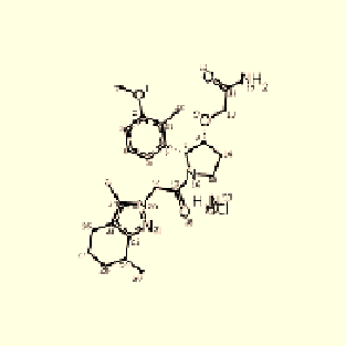 COc1cccc([C@@H]2[C@H](OCC(N)=O)CCN2C(=O)Cn2nc3c(c2C)CCC[C@@H]3C)c1C.Cl.N